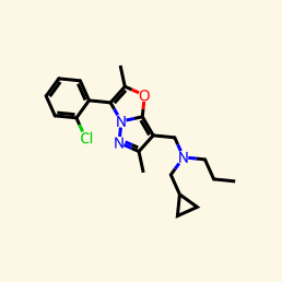 CCCN(Cc1c(C)nn2c(-c3ccccc3Cl)c(C)oc12)CC1CC1